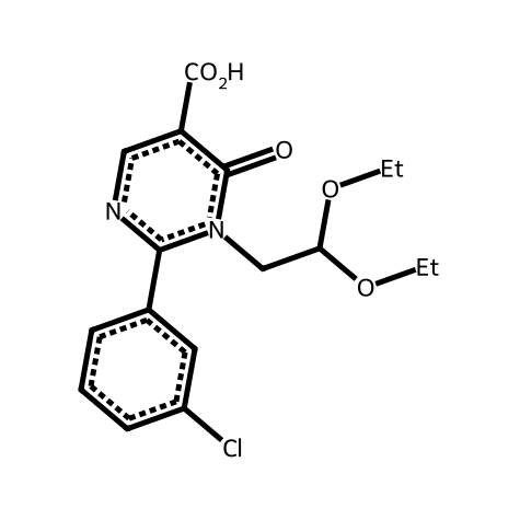 CCOC(Cn1c(-c2cccc(Cl)c2)ncc(C(=O)O)c1=O)OCC